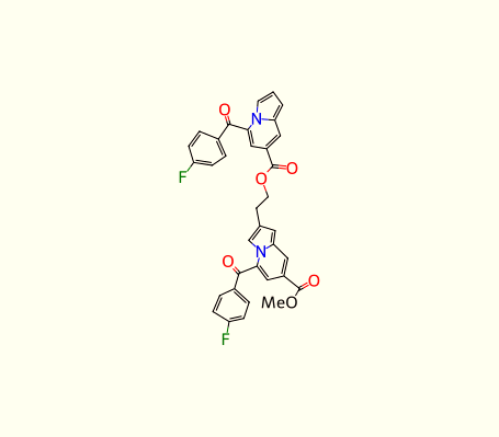 COC(=O)c1cc(C(=O)c2ccc(F)cc2)n2cc(CCOC(=O)c3cc(C(=O)c4ccc(F)cc4)n4cccc4c3)cc2c1